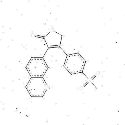 CS(=O)(=O)c1ccc(C2=C(c3ccc4cccnc4c3)C(=O)OC2)cc1